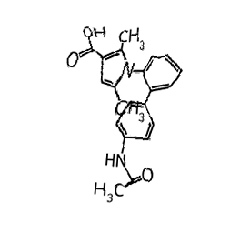 CC(=O)Nc1ccc(-c2ccccc2-n2c(C)cc(C(=O)O)c2C)cc1